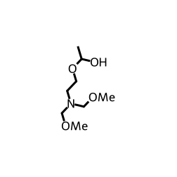 COCN(CCOC(C)O)COC